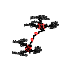 CO[Si](CC[SiH2]O[Si](O[Si](C)(C)CCOCCCOCCC[Si](C)(C)O[Si](O[Si](C)(C)CC[Si](OC)(OC)OC)(O[Si](C)(C)CC[Si](OC)(OC)OC)O[Si](C)(C)CC[Si](OC)(OC)OC)(O[Si](C)(C)CC[Si](OC)(OC)OC)O[Si](C)(C)CC[Si](OC)(OC)OC)(OC)OC